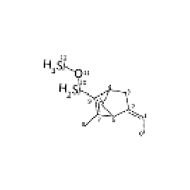 CC=C1CC2CC1C(C)=C2[SiH2]O[SiH3]